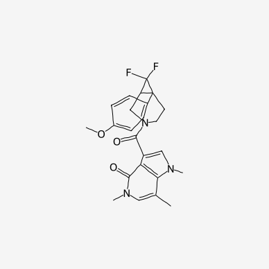 COc1ccc(C23CCN(C(=O)c4cn(C)c5c(C)cn(C)c(=O)c45)CC2C3(F)F)cc1